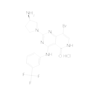 Cl.N[C@@H]1CCN(c2nc(Nc3cccc(C(F)(F)F)c3)c3c(=O)[nH]cc(Br)c3n2)C1